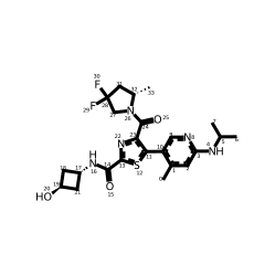 Cc1cc(NC(C)C)ncc1-c1sc(C(=O)N[C@H]2C[C@H](O)C2)nc1C(=O)N1CC(F)(F)C[C@@H]1C